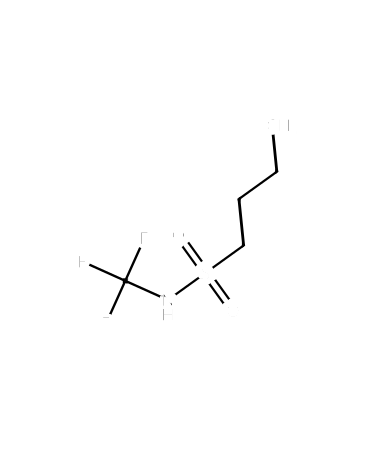 CCCCS(=O)(=O)NC(F)(F)F